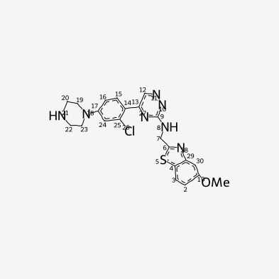 COc1ccc2sc(CNc3nncc(-c4ccc(N5CCNCC5)cc4Cl)n3)nc2c1